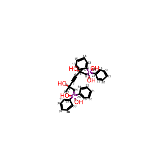 CC(O)(C#CC(C)(O)CP(O)(O)(c1ccccc1)c1ccccc1)CP(O)(O)(c1ccccc1)c1ccccc1